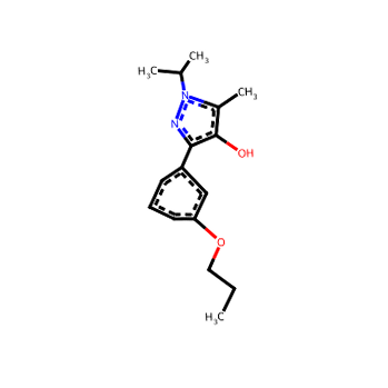 CCCOc1cccc(-c2nn(C(C)C)c(C)c2O)c1